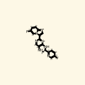 C[C@@H](Nc1nc(-c2cnc3ccc(F)cn23)ncc1N)c1ccc(F)cn1